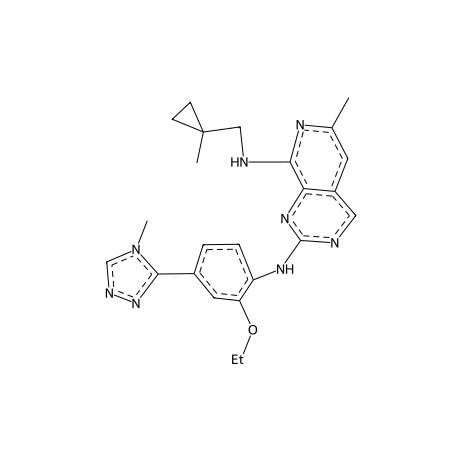 CCOc1cc(-c2nncn2C)ccc1Nc1ncc2cc(C)nc(NCC3(C)CC3)c2n1